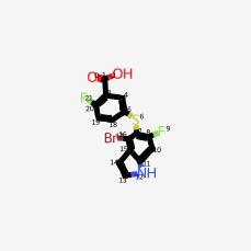 O=C(O)c1cc(Sc2c(F)cc3[nH]ccc3c2Br)ccc1F